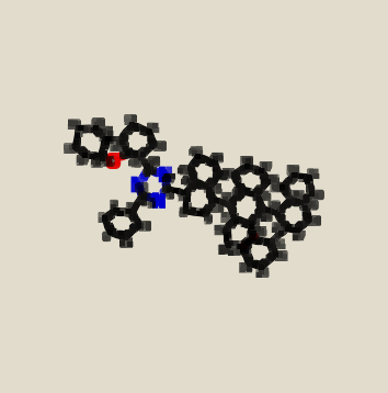 c1ccc(-c2nc(-c3ccc(-c4c5ccccc5c(-c5c(-c6ccccc6)ccc6ccccc56)c5ccccc45)c4ccccc34)nc(-c3cccc4c3oc3ccccc34)n2)cc1